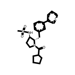 CS(=O)(=O)N[C@H]1CCN(C(=O)C2CCCC2)[C@H]1Cc1cccc(-c2ccccc2)c1